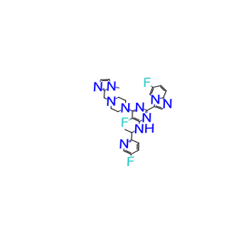 CC(Nc1nc(-c2cnc3ccc(F)cn23)nc(N2CCN(Cc3nccn3C)CC2)c1F)c1ccc(F)cn1